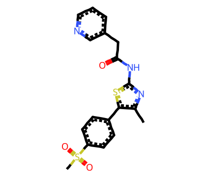 Cc1nc(NC(=O)Cc2cccnc2)sc1-c1ccc(S(C)(=O)=O)cc1